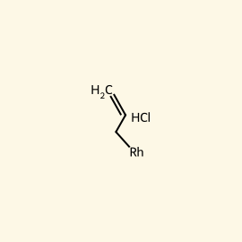 C=C[CH2][Rh].Cl